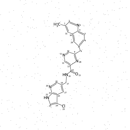 Cc1cnc2ccc(Cc3cncc(C(=O)NCc4cnc5[nH]cc(Cl)c5c4)n3)cc2c1